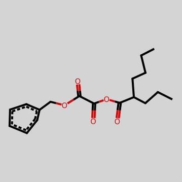 CCCCC(CCC)C(=O)OC(=O)C(=O)OCc1ccccc1